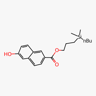 CCCC[Si](C)(C)CCCOC(=O)c1ccc2cc(O)ccc2c1